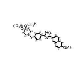 COc1ccc2cc(-c3nc(-c4ccc(CN5CCC(OC(=O)O)(OC(=O)O)CC5)cc4)no3)ccc2c1